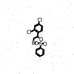 O=S(=O)(OC(CBr)c1ccc(Cl)cc1Cl)c1ccccc1